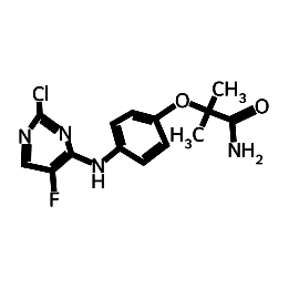 CC(C)(Oc1ccc(Nc2nc(Cl)ncc2F)cc1)C(N)=O